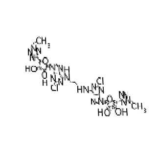 CCn1nnc([C@H]2O[C@@H](n3cnc4c(NCCCCNc5nc(Cl)nc6c5ncn6[C@@H]5O[C@H](c6nnn(CC)n6)[C@@H](O)[C@H]5O)nc(Cl)nc43)[C@H](O)[C@@H]2O)n1